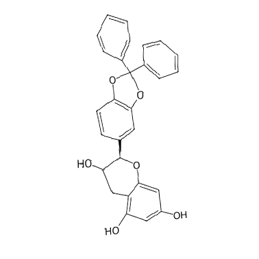 Oc1cc(O)c2c(c1)O[C@H](c1ccc3c(c1)OC(c1ccccc1)(c1ccccc1)O3)C(O)C2